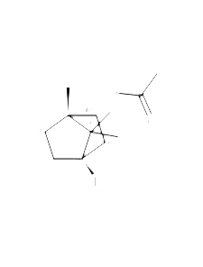 CC(=O)O[C@@H]1C[C@@H]2CC[C@@]1(C)C2(C)C